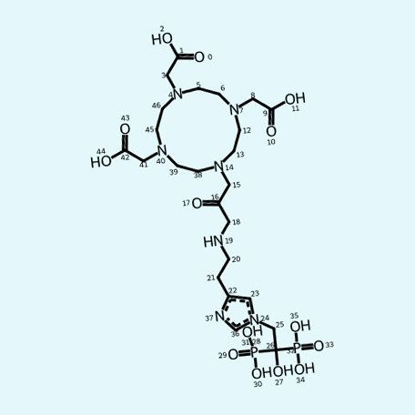 O=C(O)CN1CCN(CC(=O)O)CCN(CC(=O)CNCCc2cn(CC(O)(P(=O)(O)O)P(=O)(O)O)cn2)CCN(CC(=O)O)CC1